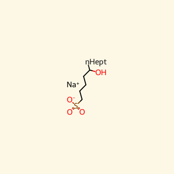 CCCCCCCC(O)CCCCS(=O)(=O)[O-].[Na+]